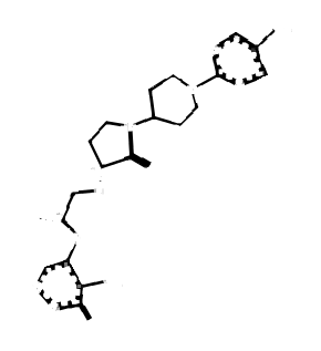 C[C@H](CN[C@@H]1CCN(C2CCN(c3ncc(C(F)(F)F)cn3)CC2)C1=O)Nc1cn[nH]c(=O)c1C(F)(F)F